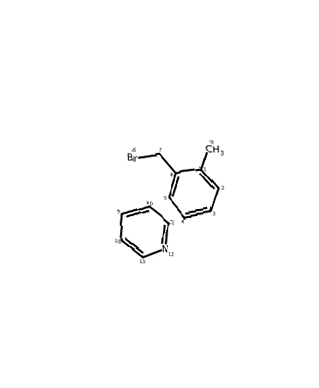 Cc1ccccc1CBr.c1ccncc1